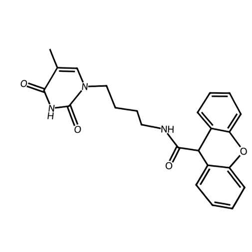 Cc1cn(CCCCNC(=O)C2c3ccccc3Oc3ccccc32)c(=O)[nH]c1=O